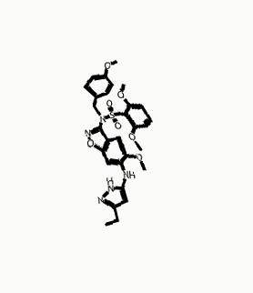 CCc1cc(Nc2cc3onc(N(Cc4ccc(OC)cc4)S(=O)(=O)c4c(OC)cccc4OC)c3cc2OC)[nH]n1